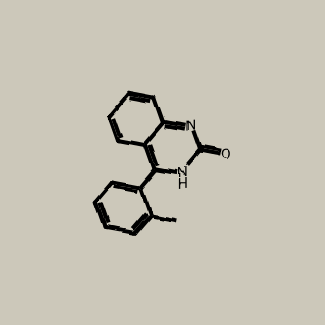 Cc1ccccc1-c1[nH]c(=O)nc2ccccc12